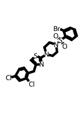 O=S(=O)(c1ccccc1Br)N1CCN(c2nc(Cc3ccc(Cl)cc3Cl)cs2)CC1